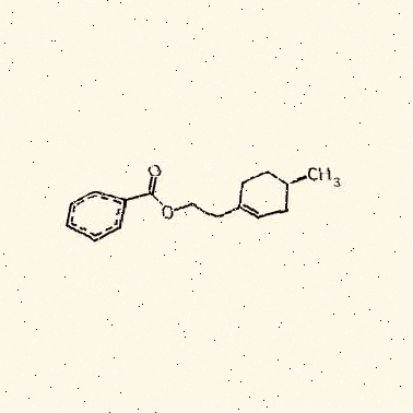 C[C@H]1CC=C(CCOC(=O)c2ccccc2)CC1